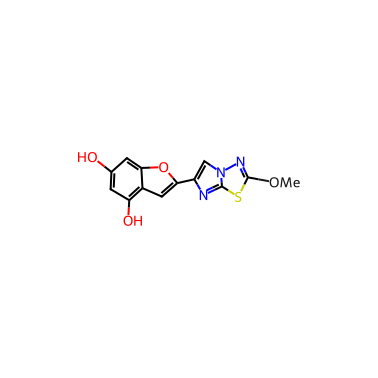 COc1nn2cc(-c3cc4c(O)cc(O)cc4o3)nc2s1